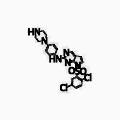 O=S(=O)(c1cc(Cl)ccc1Cl)n1ccc2cnc(Nc3ccc(N4CCNCC4)cc3)nc21